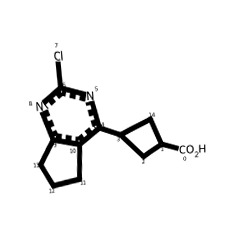 O=C(O)C1CC(c2nc(Cl)nc3c2CCC3)C1